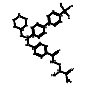 NC(=O)[C@@H](O)CNC(=O)c1ccc(O[C@@H](CC2CCOCC2)c2ccc(-c3ccc(C(F)(F)F)cc3)cc2)cc1